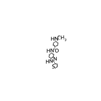 CNc1ccc(C(=O)Nc2ccc3[nH]c(-c4cccs4)nc3c2)cc1